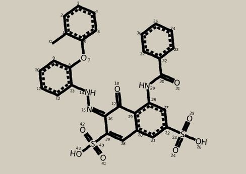 Cc1ccccc1Oc1ccccc1N/N=C1\C(=O)c2c(cc(S(=O)(=O)O)cc2NC(=O)c2ccccc2)C=C1S(=O)(=O)O